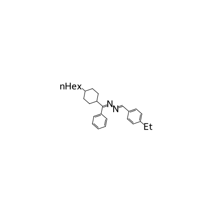 CCCCCCC1CCC(C(=NN=Cc2ccc(CC)cc2)c2ccccc2)CC1